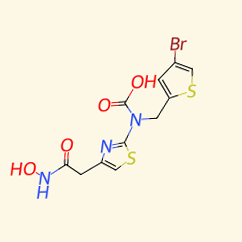 O=C(Cc1csc(N(Cc2cc(Br)cs2)C(=O)O)n1)NO